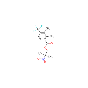 Cc1c(C(=O)OCC(C)(C)[N+](=O)[O-])ccc(C(F)(F)F)c1C